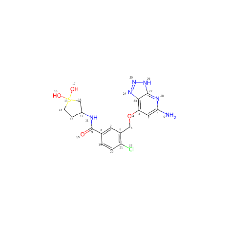 Nc1cc(OCc2cc(C(=O)NC3CCS(O)(O)C3)ccc2Cl)c2nn[nH]c2n1